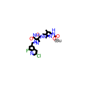 Cc1cc(NC(=O)OC(C)(C)C)nc(C)c1CNC(=O)c1cnn(Cc2cc(F)c3ncc(Cl)cc3c2)c1C(N)=O